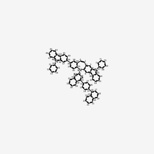 C1=Cc2cc3c(cc2N(c2nc(-c4ccc(-c5cccc6ccccc56)cc4)c4ccccc4n2)c2ccc(-c4ccc5c6ccccc6n(-c6ccccc6)c5c4)cc21)c1ccccc1n3-c1ccccc1